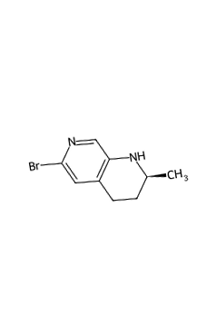 C[C@H]1CCc2cc(Br)ncc2N1